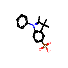 CC1=[N+](c2ccccc2)c2ccc(S(=O)(=O)[O-])cc2C1(C)C